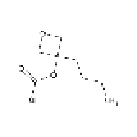 CCCCC1(OC(=O)O)COC1